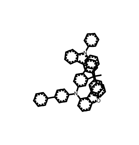 CC1(c2ccccc2)c2ccccc2-c2ccc(N(c3ccc(-c4ccccc4)cc3)c3cccc4oc5ccc(-c6ccc7c(c6)c6ccccc6n7-c6ccccc6)cc5c34)cc21